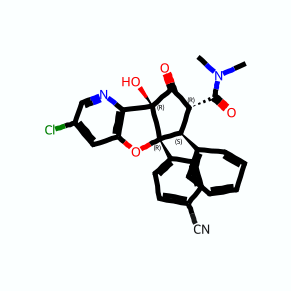 CN(C)C(=O)[C@H]1C(=O)[C@@]2(O)c3ncc(Cl)cc3O[C@@]2(c2ccc(C#N)cc2)[C@@H]1c1ccccc1